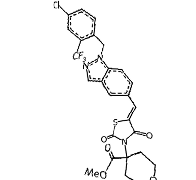 COC(=O)C1(N2C(=O)SC(=Cc3ccc4c(cnn4Cc4ccc(Cl)cc4C(F)(F)F)c3)C2=O)CCOCC1